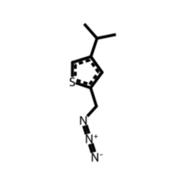 CC(C)c1csc(CN=[N+]=[N-])c1